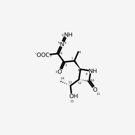 CC(C(=O)C(=[N+]=N)C(=O)[O-])[C@H]1NC(=O)[C@@H]1[C@@H](C)O